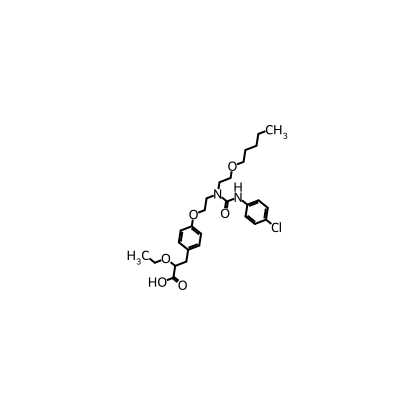 CCCCCOCCN(CCOc1ccc(CC(OCC)C(=O)O)cc1)C(=O)Nc1ccc(Cl)cc1